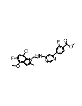 COC(=O)c1ccc(-c2cc(NCCn3c(C)cc4c(OC)c(F)cc(Cl)c43)ncn2)cc1F